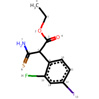 CCOC(=O)C(C(N)=S)c1ccc(I)cc1F